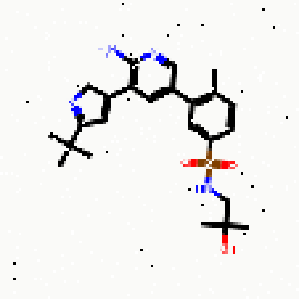 Cc1ccc(S(=O)(=O)NCC(C)(C)O)cc1-c1cnc(N)c(C2=CC(C(C)(C)C)=NC2)c1